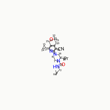 C#CCNC(=O)N1CCN(c2nc(C3CC3)c3c(c2C#N)CC(C)(C)OC3)CC1C(C)C